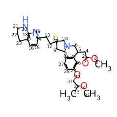 COC(=O)CC(CN1CC[C@@](F)(CCc2ccc3c(n2)NCCC3)C1)c1cccc(OC[C@H](C)OC)c1